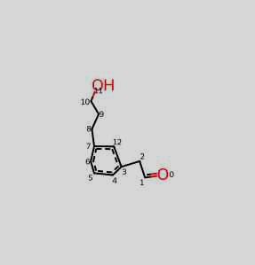 O=CCc1cccc(CCCO)c1